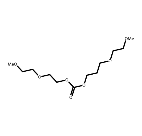 COCCOCCCOC(=O)OCCOCCOC